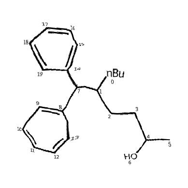 CCCCC(CCC(C)O)[C](c1ccccc1)c1ccccc1